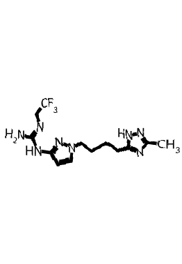 Cc1n[nH]c(CCCCn2ccc(NC(N)=NCC(F)(F)F)n2)n1